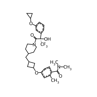 Cc1cc(OC2CC(CC3CCN(C(=O)[C@](O)(c4cccc(OC5CC5)c4)C(F)(F)F)CC3)C2)ccc1C(=O)N(C)C